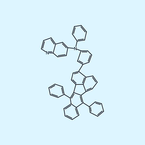 c1ccc(-c2c3c(c(-c4ccccc4)c4ccccc24)-c2ccc(-c4cccc(N(c5ccccc5)c5ccc6ncccc6c5)c4)c4cccc-3c24)cc1